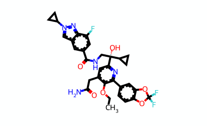 CCOc1c(CC(N)=O)cc([C@@](O)(CNC(=O)c2cc(F)c3nn(C4CC4)cc3c2)C2CC2)nc1-c1ccc2c(c1)OC(F)(F)O2